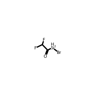 O=C([SiH2]Br)C(F)F